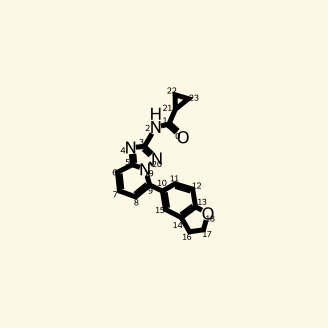 O=C(Nc1nc2cccc(-c3ccc4c(c3)CCO4)n2n1)C1CC1